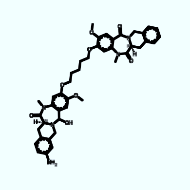 COc1cc2c(cc1OCCCCCOc1cc3c(cc1OC)C(O)N1Cc4cc(N)ccc4C[C@H]1C(=O)N3C)N(C)C(=O)[C@@H]1Cc3ccccc3CN1C2=O